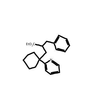 CCOC(=O)C(Cc1ccccc1)CC1(c2ccccn2)CCCCC1